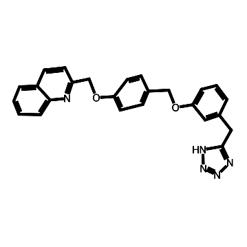 c1cc(Cc2nnn[nH]2)cc(OCc2ccc(OCc3ccc4ccccc4n3)cc2)c1